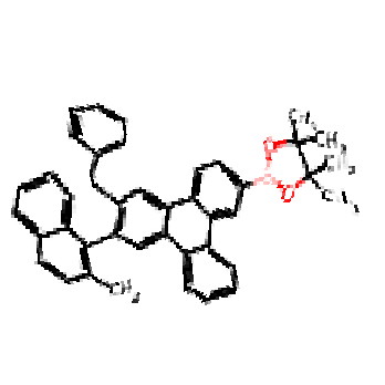 Cc1ccc2ccccc2c1-c1cc2c3ccccc3c3cc(B4OC(C)(C)C(C)(C)O4)ccc3c2cc1Cc1ccccc1